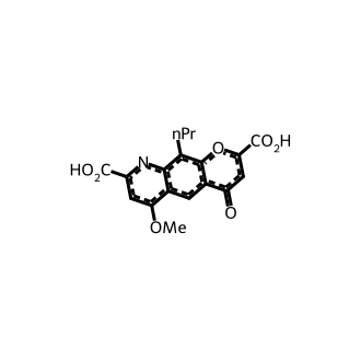 CCCc1c2nc(C(=O)O)cc(OC)c2cc2c(=O)cc(C(=O)O)oc12